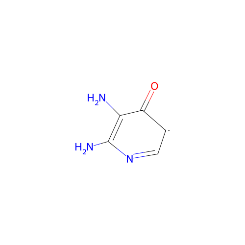 NC1=C(N)C(=O)[CH]C=N1